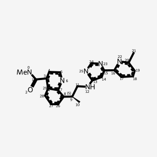 CNC(=O)c1ccnc2c([C@H](C)CNc3cc(-c4cccc(C)n4)ncn3)cccc12